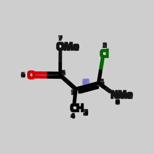 CN/C(Cl)=C(\C)C(=O)OC